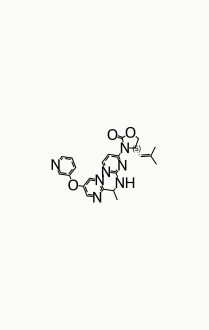 CC(C)=C[C@H]1COC(=O)N1c1ccnc(NC(C)c2ncc(Oc3cccnc3)cn2)n1